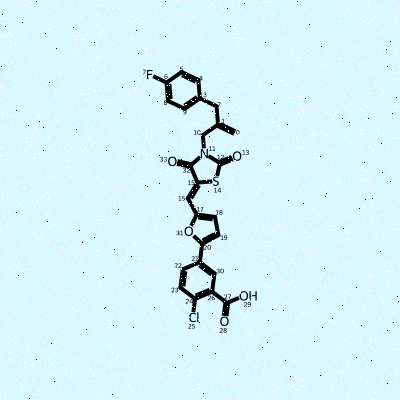 C=C(Cc1ccc(F)cc1)CN1C(=O)S/C(=C\c2ccc(-c3ccc(Cl)c(C(=O)O)c3)o2)C1=O